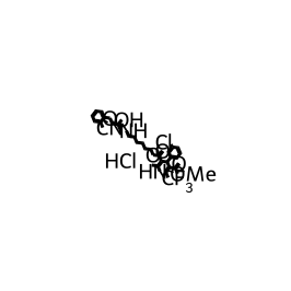 COC(=O)C1=C(C(F)(F)F)NC(C)=C(C(=O)OCCCCCCNCC(O)COc2ccccc2C#N)C1c1cccc(Cl)c1.Cl